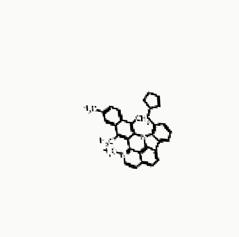 Cc1ccc2c(C)c3c(c(C)c2c1)c1c2c(ccc4c5cccc(CC6CCCC6)c5n3c42)cc[n+]1C